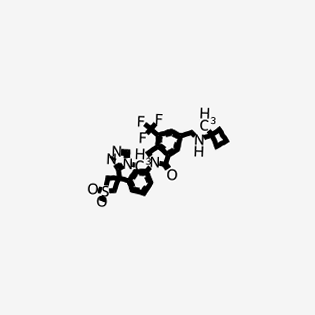 Cn1cnnc1C1(c2cccc(N3Cc4c(cc(CNC5(C)CCC5)cc4C(F)(F)F)C3=O)c2)CS(=O)(=O)C1